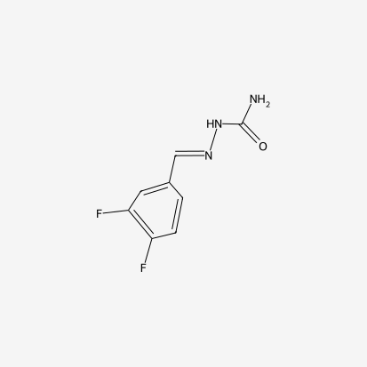 NC(=O)N/N=C/c1ccc(F)c(F)c1